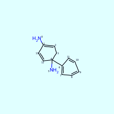 NC1=CCC(N)(c2ccccc2)C=C1